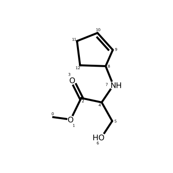 COC(=O)C(CO)NC1C=CCC1